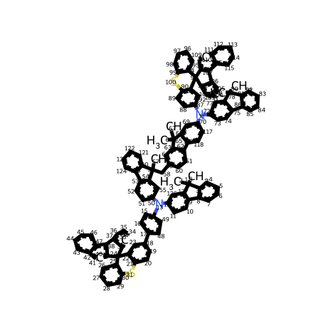 CC1(C)c2ccccc2-c2ccc(N(c3ccc(-c4ccc5c(c4)C4(c6ccccc6S5)c5ccccc5-c5c4ccc4ccccc54)cc3)c3ccc4c(c3)C(C)(Cc3ccc5c(c3)C(C)(C)c3cc(N(c6ccc7c(c6)C(C)(C)c6ccccc6-7)c6ccc7c(c6)C6(c8ccccc8S7)c7ccccc7-c7c6ccc6ccccc76)ccc3-5)c3ccccc3-4)cc21